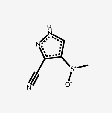 C[S+]([O-])c1c[nH]nc1C#N